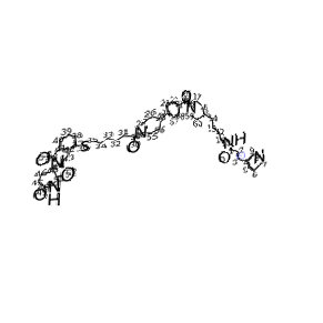 O=C(/C=C/c1cccnc1)NCCCCC1CCN(C(=O)c2ccc(C3CCN(C(=O)CCCCCSc4cccc5c4CN(C4CCC(=O)NC4=O)C5=O)CC3)cc2)CC1